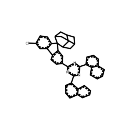 Clc1ccc2c(c1)-c1ccc(-c3nc(-c4cccc5ccccc45)nc(-c4cccc5ccccc45)n3)cc1C21C2CC3CC(C2)CC1C3